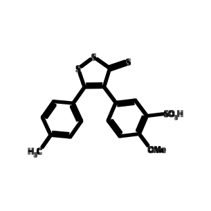 COc1ccc(-c2c(-c3ccc(C)cc3)ssc2=S)cc1S(=O)(=O)O